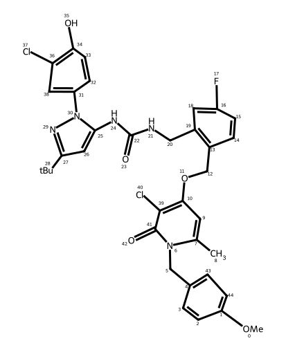 COc1ccc(Cn2c(C)cc(OCc3ccc(F)cc3CNC(=O)Nc3cc(C(C)(C)C)nn3-c3ccc(O)c(Cl)c3)c(Cl)c2=O)cc1